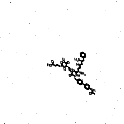 CC(=O)Nc1ccc(-c2ccc(C[C@@H](NC(=O)[C@@H](N)CCNC[C@@H](N)Cc3ccccc3)C(=O)NCC[C@@H](NC(=O)CCCC(=O)O)C(=O)O)cc2)cc1